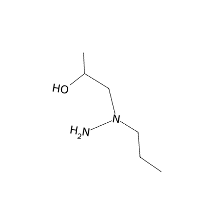 CCCN(N)CC(C)O